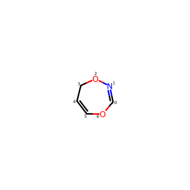 [C]1=NOCC=CO1